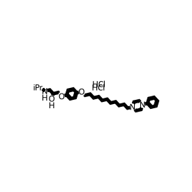 CC(C)NCC(O)COc1ccc(OCCCCCCCCCCCN2CCN(c3ccccc3)CC2)cc1.Cl.Cl